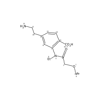 CCCOCC(=O)N(CC)c1cc(CCN)ccc1C(=O)O